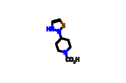 O=C(O)N1CCC(N2NC=CS2)CC1